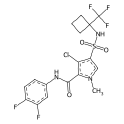 Cn1cc(S(=O)(=O)NC2(C(F)(F)F)CCC2)c(Cl)c1C(=O)Nc1ccc(F)c(F)c1